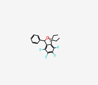 CC[Si]1(CC)OC(c2ccccc2)c2c(F)c(F)c(F)c(F)c21